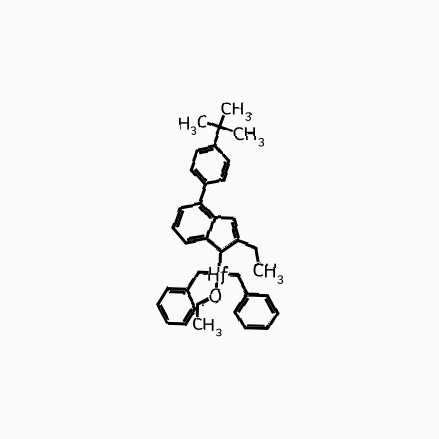 C[CH][O][Hf]([CH2]c1ccccc1)([CH2]c1ccccc1)[CH]1C(CC)=Cc2c(-c3ccc(C(C)(C)C)cc3)cccc21